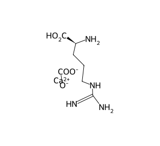 N=C(N)NCCC[C@H](N)C(=O)O.O=C([O-])[O-].[Ca+2]